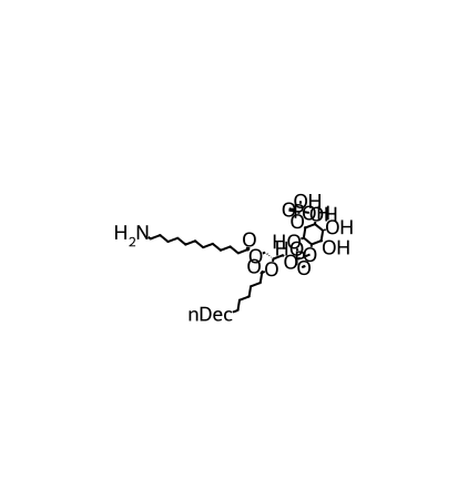 CCCCCCCCCCCCCCCC(=O)O[C@H](COC(=O)CCCCCCCCCCCN)COP(=O)(O)OC1C(O)[C@@H](OP(=O)(O)O)C(O)[C@@H](O)[C@H]1O